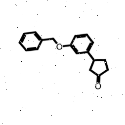 O=C1CCC(c2cccc(OCc3ccccc3)c2)C1